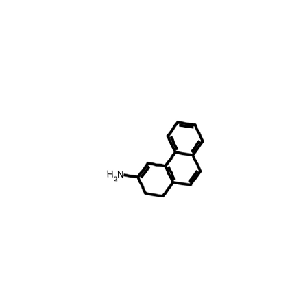 NC1=Cc2c(ccc3ccccc23)CC1